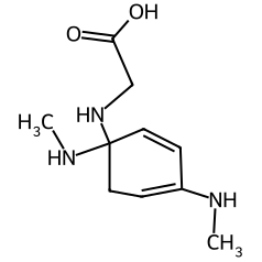 CNC1=CCC(NC)(NCC(=O)O)C=C1